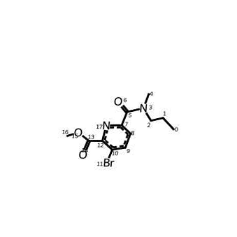 CCCN(C)C(=O)c1ccc(Br)c(C(=O)OC)n1